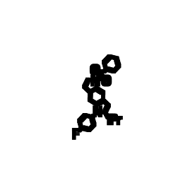 CC(C)c1cc2cc3c(ccn3S(=O)(=O)c3ccccc3)cc2n1-c1ccc(F)cc1